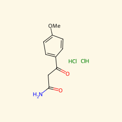 COc1ccc(C(=O)CC(N)=O)cc1.Cl.Cl